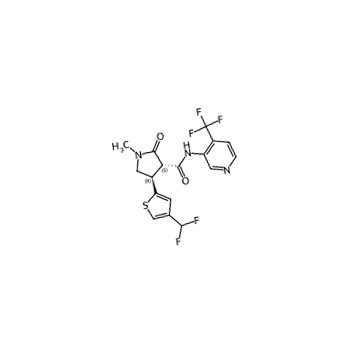 CN1C[C@H](c2cc(C(F)F)cs2)[C@@H](C(=O)Nc2cnccc2C(F)(F)F)C1=O